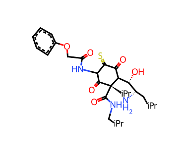 CC(C)CNC(=O)[C@]1(C(C)C)C(=O)C(NC(=O)COc2ccccc2)C(=S)C(=O)C1[C@H](O)[C@@H](N)CC(C)C